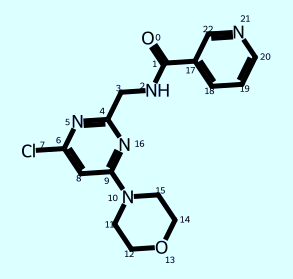 O=C(NCc1nc(Cl)cc(N2CCOCC2)n1)c1cccnc1